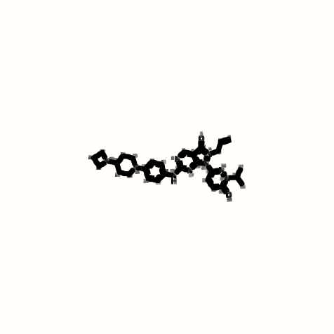 C=CCn1c(=O)c2cnc(Nc3ccc(N4CCC(N5CCC5)CC4)cc3)nc2n1-c1ccc(=O)n(C(C)C)n1